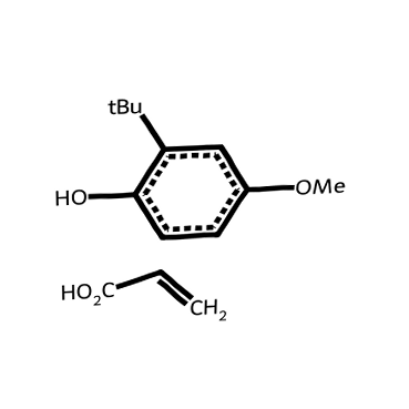 C=CC(=O)O.COc1ccc(O)c(C(C)(C)C)c1